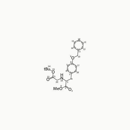 COC(=O)C(Cc1ccc(OCc2ccccc2)cc1)NCC(=O)OC(C)(C)C